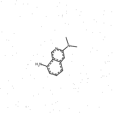 CN(C)c1cc2cccc(N)c2cn1